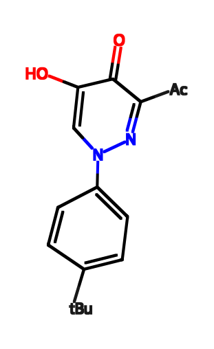 CC(=O)c1nn(-c2ccc(C(C)(C)C)cc2)cc(O)c1=O